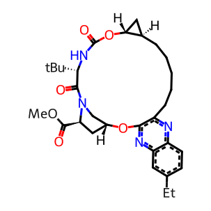 CCc1ccc2nc3c(nc2c1)O[C@@H]1C[C@@H](C(=O)OC)N(C1)C(=O)[C@H](C(C)(C)C)NC(=O)O[C@@H]1C[C@H]1CCCCC3